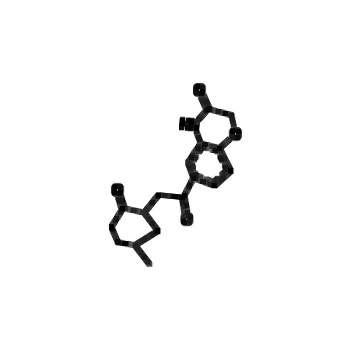 CC1CCC(=O)C(CC(=O)c2ccc3c(c2)NC(=O)CO3)C1